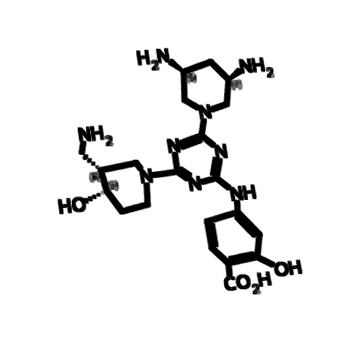 NC[C@@H]1CN(c2nc(Nc3ccc(C(=O)O)c(O)c3)nc(N3C[C@H](N)C[C@H](N)C3)n2)CC[C@@H]1O